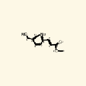 COC(=O)/C=C/c1ccc(CO)cn1